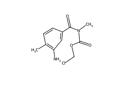 Cc1ccc(C(=O)N(C)C(=O)OCCl)cc1N